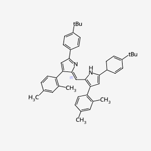 Cc1ccc(C2=CC(c3ccc(C(C)(C)C)cc3)=N/C2=C\c2[nH]c(C3C=CC(C(C)(C)C)=CC3)cc2-c2ccc(C)cc2C)c(C)c1